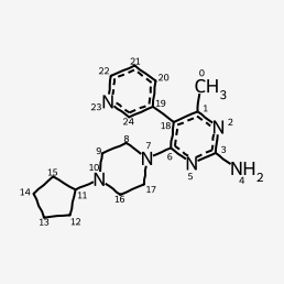 Cc1nc(N)nc(N2CCN(C3CCCC3)CC2)c1-c1cccnc1